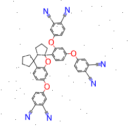 N#Cc1ccc(Oc2ccc3c(c2)OC2(c4ccc(Oc5ccc(C#N)c(C#N)c5)cc4Oc4ccc(C#N)c(C#N)c4)CCCC2C32CCCC2)cc1C#N